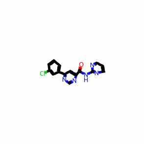 O=C(Nc1ncccn1)c1cc(-c2cccc(Cl)c2)ncn1